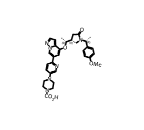 COc1ccc([C@@H](C)N2C[C@H]([C@@H](C)Oc3cc(-c4ccc(N5CCN(C(=O)O)CC5)cn4)cn4nccc34)CC2=O)cc1